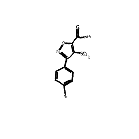 NC(=O)c1onc(-c2ccc(Br)cc2)c1[N+](=O)[O-]